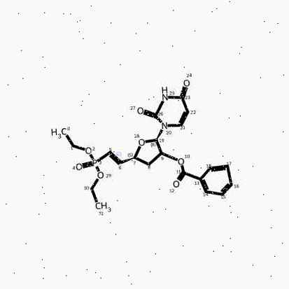 CCOP(=O)(/C=C/[C@@H]1CC(OC(=O)c2ccccc2)[C@H](n2ccc(=O)[nH]c2=O)O1)OCC